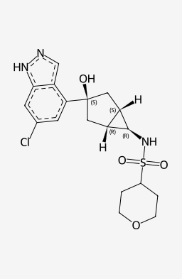 O=S(=O)(N[C@H]1[C@@H]2C[C@](O)(c3cc(Cl)cc4[nH]ncc34)C[C@@H]21)C1CCOCC1